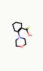 OC(=S)C1=C(N2CCOCC2)CCCC1